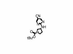 CC(C)(C)OC(=O)N1CCC(Nc2ncc(C#N)cn2)C1